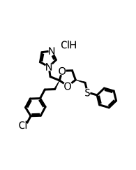 Cl.Clc1ccc(CC[C@@]2(Cn3ccnc3)OC[C@@H](CSc3ccccc3)O2)cc1